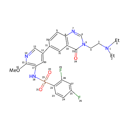 CCN(CC)CCn1cnc2ccc(-c3cnc(OC)c(NS(=O)(=O)c4ccc(F)cc4F)c3)cc2c1=O